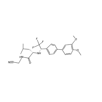 COc1ccc(-c2ccc([C@H](N[C@@H](CC(C)C)C(=O)NCC#N)C(F)(F)F)cc2)cc1OC